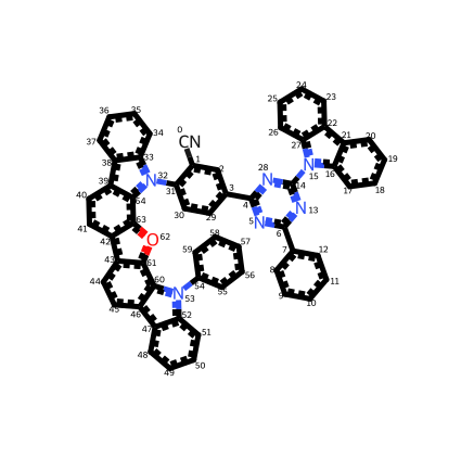 N#Cc1cc(-c2nc(-c3ccccc3)nc(-n3c4ccccc4c4ccccc43)n2)ccc1-n1c2ccccc2c2ccc3c4ccc5c6ccccc6n(-c6ccccc6)c5c4oc3c21